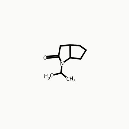 CC(C)N1C(=O)CC2CCCC21